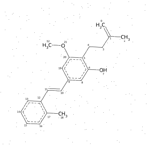 C=C(C)CCc1c(O)cc(C=Cc2ccccc2C)cc1OC